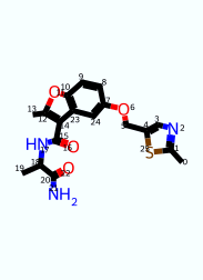 Cc1ncc(COc2ccc3oc(C)c(C(=O)NC(C)C(N)=O)c3c2)s1